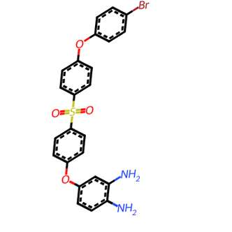 Nc1ccc(Oc2ccc(S(=O)(=O)c3ccc(Oc4ccc(Br)cc4)cc3)cc2)cc1N